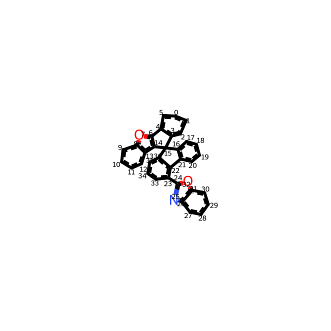 c1ccc2c(c1)-c1oc3ccccc3c1C21c2ccccc2-c2c(-c3nc4ccccc4o3)cccc21